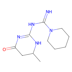 CC1CC(=O)N=C(NC(=N)N2CCCCC2)N1